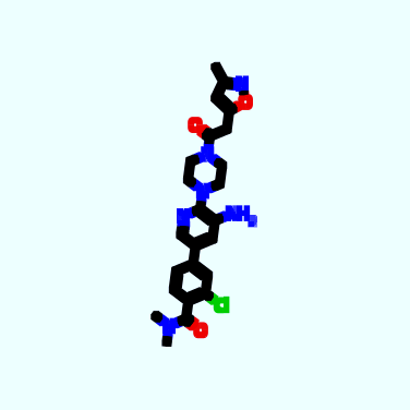 Cc1cc(CC(=O)N2CCN(c3ncc(-c4ccc(C(=O)N(C)C)c(Cl)c4)cc3N)CC2)on1